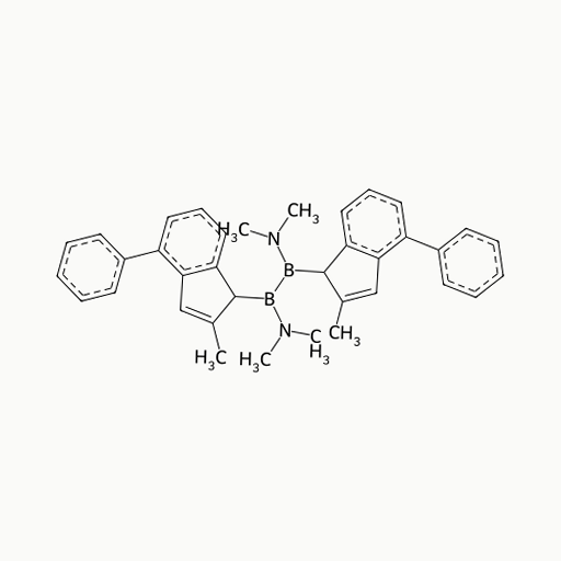 CC1=Cc2c(-c3ccccc3)cccc2C1B(B(C1C(C)=Cc2c(-c3ccccc3)cccc21)N(C)C)N(C)C